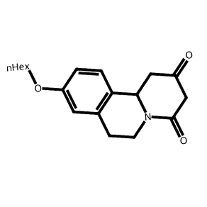 CCCCCCOc1ccc2c(c1)CCN1C(=O)CC(=O)CC21